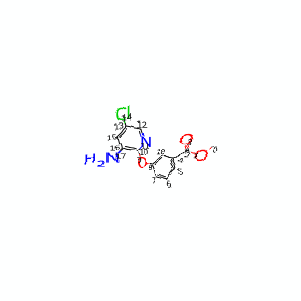 COC(=O)c1cccc(Oc2ncc(Cl)cc2N)c1